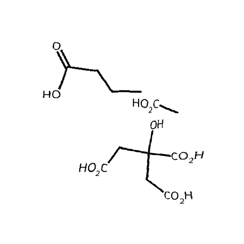 CC(=O)O.CCCC(=O)O.O=C(O)CC(O)(CC(=O)O)C(=O)O